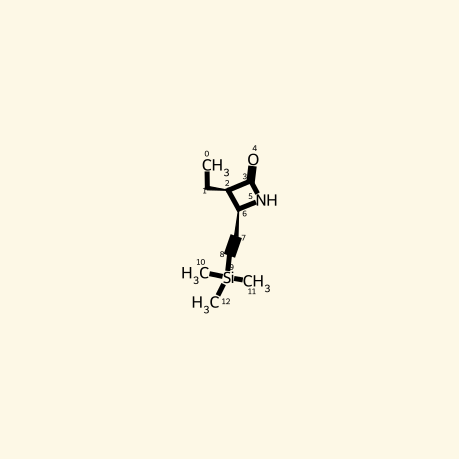 CC[C@H]1C(=O)N[C@H]1C#C[Si](C)(C)C